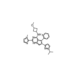 COC1CC(Nc2nc(-c3nccn3C)nn3cc(-c4ccn(C(C)C)n4)c(-c4ccccn4)c23)C1